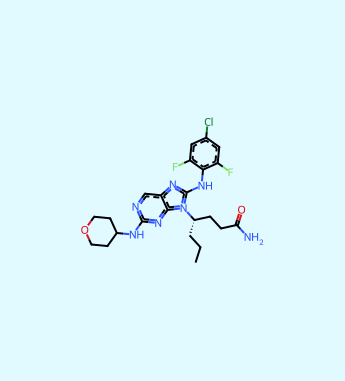 CCC[C@@H](CCC(N)=O)n1c(Nc2c(F)cc(Cl)cc2F)nc2cnc(NC3CCOCC3)nc21